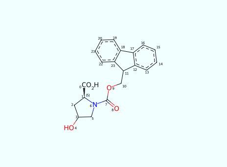 O=C(O)[C@@H]1CC(O)CN1C(=O)OCC1c2ccccc2-c2ccccc21